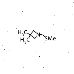 CSCN1CC(C)(C)C1